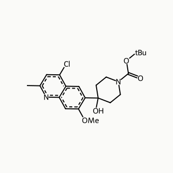 COc1cc2nc(C)cc(Cl)c2cc1C1(O)CCN(C(=O)OC(C)(C)C)CC1